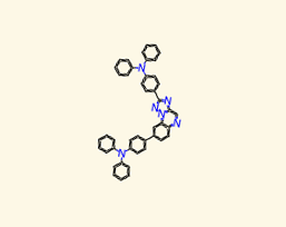 c1ccc(N(c2ccccc2)c2ccc(-c3ccc4ncc5nc(-c6ccc(N(c7ccccc7)c7ccccc7)cc6)nn5c4c3)cc2)cc1